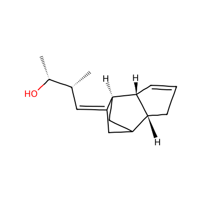 C[C@H](/C=C1/CC2C[C@@H]1[C@@H]1C=CC[C@H]21)[C@@H](C)O